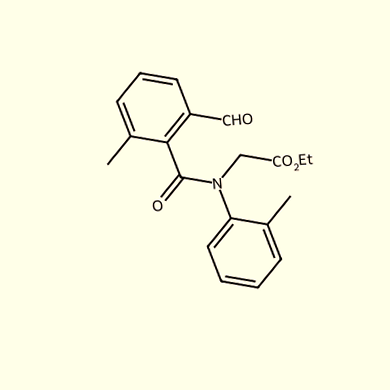 CCOC(=O)CN(C(=O)c1c(C)cccc1C=O)c1ccccc1C